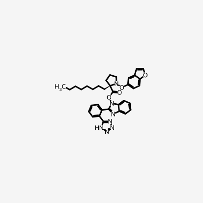 CCCCCCCC[C@@]1(C(=O)On2c(-c3ccccc3-c3nnn[nH]3)nc3ccccc32)CCCN1Oc1ccc2occc2c1